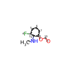 CNc1c(F)cccc1OC=O